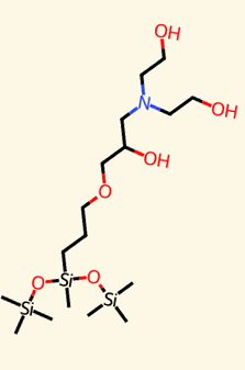 C[Si](C)(C)O[Si](C)(CCCOCC(O)CN(CCO)CCO)O[Si](C)(C)C